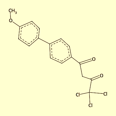 COc1ccc(-c2ccc(C(=O)CC(=O)C(Cl)(Cl)Cl)cc2)cc1